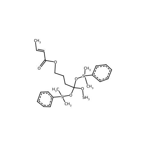 CC=CC(=O)OCCCC(O[SiH3])(O[Si](C)(C)c1ccccc1)O[Si](C)(C)c1ccccc1